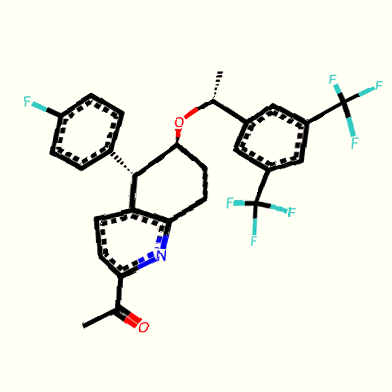 CC(=O)c1ccc2c(n1)CC[C@H](O[C@H](C)c1cc(C(F)(F)F)cc(C(F)(F)F)c1)[C@H]2c1ccc(F)cc1